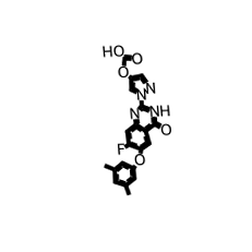 Cc1cc(C)cc(Oc2cc3c(=O)[nH]c(-n4cc(OC(=O)O)cn4)nc3cc2F)c1